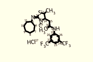 CC1SC(=NC2CCCCCC2)N(C)C1CC(=O)Nc1cc(C(F)(F)F)cc(C(F)(F)F)c1.Cl